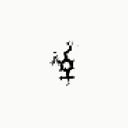 [CH2]CCc1ccc(C(F)(F)F)cc1[N+](=O)[O-]